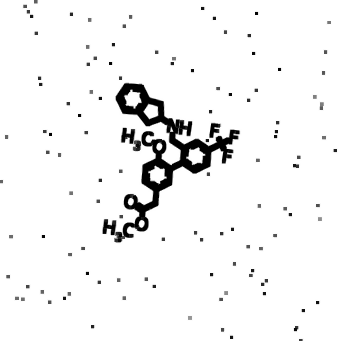 COC(=O)Cc1ccc(OC)c(-c2ccc(C(F)(F)F)cc2CNC2Cc3ccccc3C2)c1